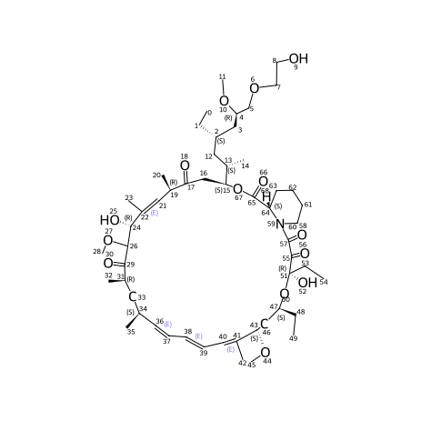 CC[C@H](C[C@H](COCCO)OC)C[C@H](C)[C@@H]1CC(=O)[C@H](C)/C=C(\C)[C@@H](O)C(OC)C(=O)[C@H](C)C[C@H](C)/C=C/C=C/C=C(\C)[C@@H](OC)C[C@H](CC)O[C@](O)(CC)C(=O)C(=O)N2CCCC[C@H]2C(=O)O1